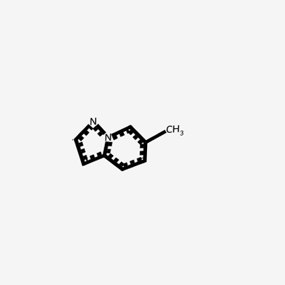 Cc1ccc2c[c]nn2c1